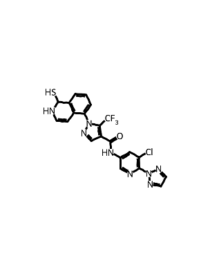 O=C(Nc1cnc(-n2nccn2)c(Cl)c1)c1cnn(-c2cccc3c2C=CNC3S)c1C(F)(F)F